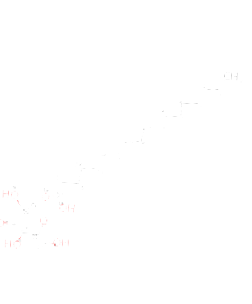 CCCCCCCCCCCCCCCCCC(O)OC1O[C@H](CO)[C@@H](O)[C@H](O)[C@H]1O